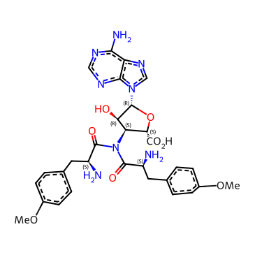 COc1ccc(C[C@H](N)C(=O)N(C(=O)[C@@H](N)Cc2ccc(OC)cc2)[C@H]2[C@@H](O)[C@H](n3cnc4c(N)ncnc43)O[C@@H]2C(=O)O)cc1